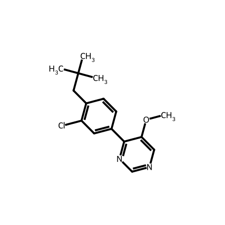 COc1cncnc1-c1ccc(CC(C)(C)C)c(Cl)c1